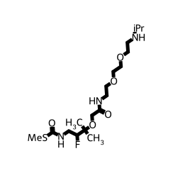 CSC(=O)NCC(F)C(C)(C)OCC(=O)NCCOCCOCCNC(C)C